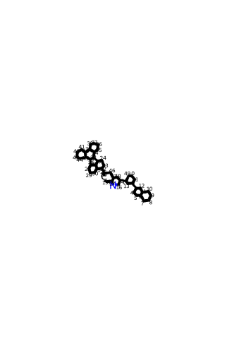 c1cc(-c2ccc3ccccc3c2)cc(-c2cnc3ccc(-c4ccc5c6c(cccc46)-c4c-5c5ccccc5c5ccccc45)cc3c2)c1